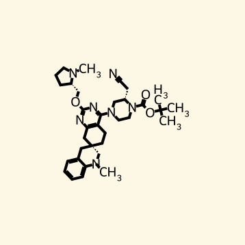 CN1C[C@]2(CCc3c(nc(OC[C@@H]4CCCN4C)nc3N3CCN(C(=O)OC(C)(C)C)[C@@H](CC#N)C3)C2)Cc2ccccc21